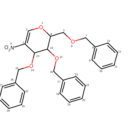 O=[N+]([O-])C1=COC(COCc2ccccc2)C(OCc2ccccc2)C1OCc1ccccc1